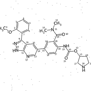 COc1ccccc1-c1n[nH]c2ncc(-c3ccc(NC(=O)OC4CCNC4)c(C(=O)N(C)C)c3)cc12